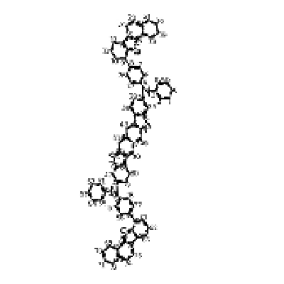 c1ccc(N(c2ccc(-c3cccc4c3sc3c5ccccc5ccc43)cc2)c2ccc3c(c2)sc2cc4cc5c(cc4cc23)sc2cc(N(c3ccccc3)c3ccc(-c4cccc6c4sc4c7ccccc7ccc64)cc3)ccc25)cc1